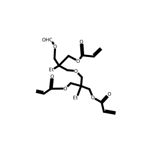 C=CC(=O)OCC(CC)(COC=O)COCC(CC)(COC(=O)C=C)COC(=O)C=C